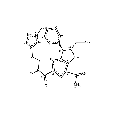 CN(CCc1cnn(C)c1)C(=O)c1cc(C(N)=O)c2c(c1)[C@@H](c1ccccc1)[C@H](CF)O2